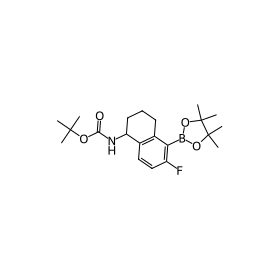 CC(C)(C)OC(=O)NC1CCCc2c1ccc(F)c2B1OC(C)(C)C(C)(C)O1